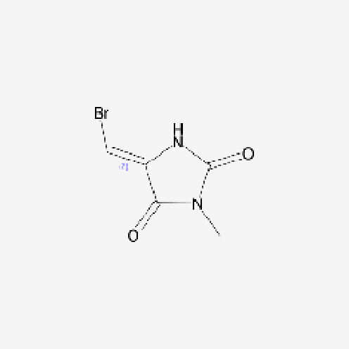 CN1C(=O)N/C(=C\Br)C1=O